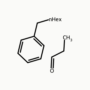 CCC=O.CCCCCCCc1ccccc1